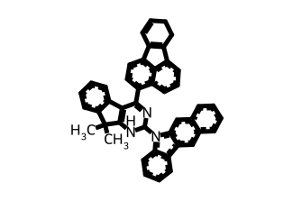 CC1(C)C2=C(C(c3ccc4c5c(cccc35)C3=C4C=CCC3)=NC(n3c4ccccc4c4cc5ccccc5cc43)N2)c2ccccc21